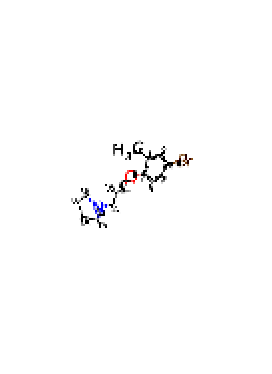 Cc1cc(Br)ccc1OCCCN1[CH]CCC1